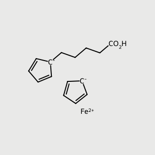 O=C(O)CCCC[c-]1cccc1.[Fe+2].c1cc[cH-]c1